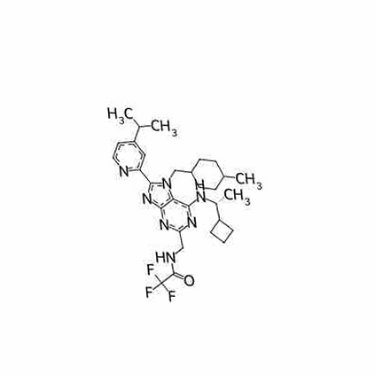 CC1CCC(Cn2c(-c3cc(C(C)C)ccn3)nc3nc(CNC(=O)C(F)(F)F)nc(N[C@H](C)C4CCC4)c32)CC1